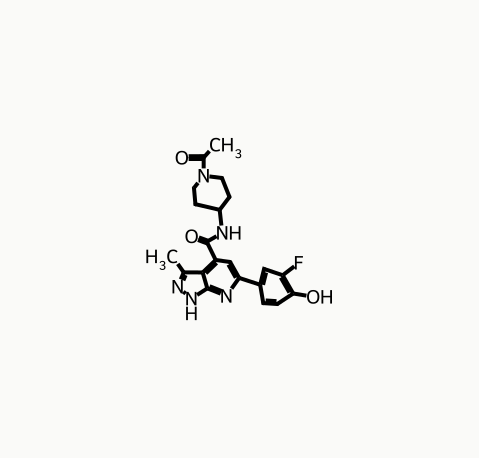 CC(=O)N1CCC(NC(=O)c2cc(-c3ccc(O)c(F)c3)nc3[nH]nc(C)c23)CC1